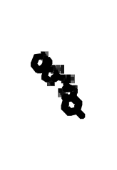 Cc1ccc2nc(NC3=NCC4(CN5CCC4CC5)N3)sc2c1